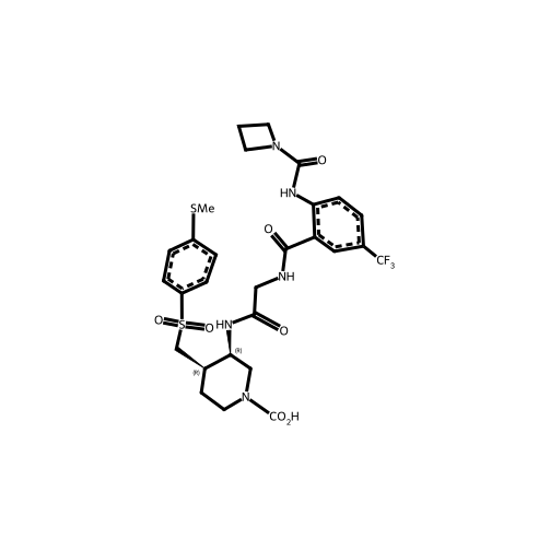 CSc1ccc(S(=O)(=O)C[C@@H]2CCN(C(=O)O)C[C@@H]2NC(=O)CNC(=O)c2cc(C(F)(F)F)ccc2NC(=O)N2CCC2)cc1